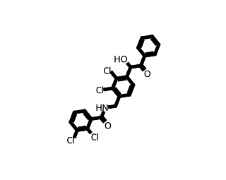 O=C(NCc1ccc(C(O)C(=O)c2ccccc2)c(Cl)c1Cl)c1cccc(Cl)c1Cl